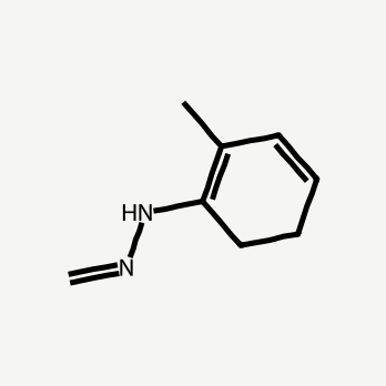 C=NNC1=C(C)C=CCC1